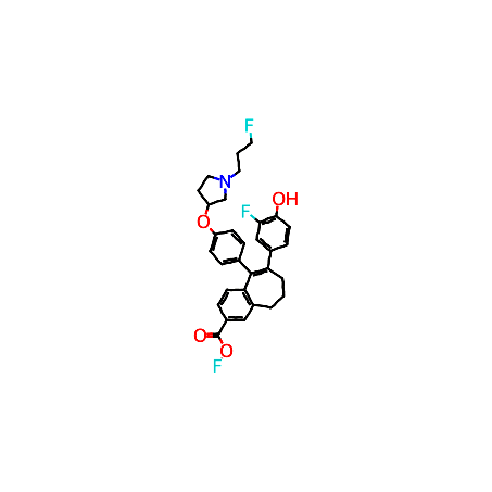 O=C(OF)c1ccc2c(c1)CCCC(c1ccc(O)c(F)c1)=C2c1ccc(OC2CCN(CCCF)C2)cc1